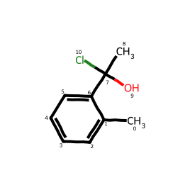 Cc1ccccc1C(C)(O)Cl